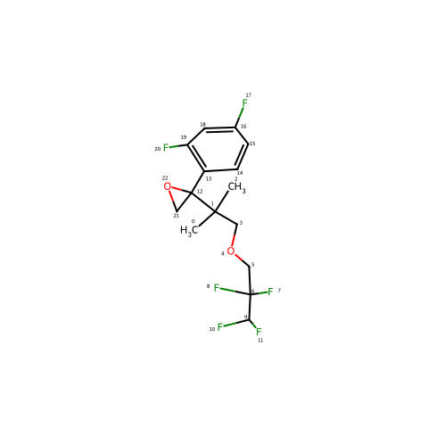 CC(C)(COCC(F)(F)C(F)F)C1(c2ccc(F)cc2F)CO1